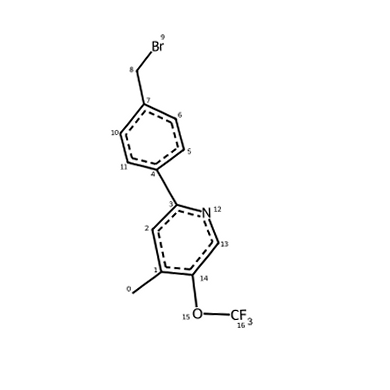 Cc1cc(-c2ccc(CBr)cc2)ncc1OC(F)(F)F